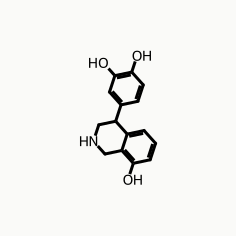 Oc1ccc(C2CNCc3c(O)cccc32)cc1O